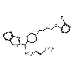 CN(C1=Nc2ccccc2CS1)C1CCN(CCCCOc2ccccc2F)CC1.O=C(O)C=CC(=O)O